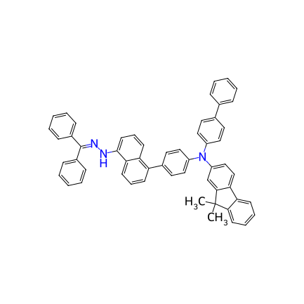 CC1(C)c2ccccc2-c2ccc(N(c3ccc(-c4ccccc4)cc3)c3ccc(-c4cccc5c(NN=C(c6ccccc6)c6ccccc6)cccc45)cc3)cc21